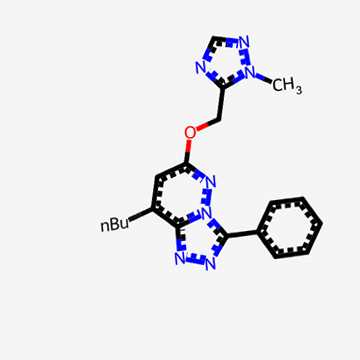 CCCCc1cc(OCc2ncnn2C)nn2c(-c3ccccc3)nnc12